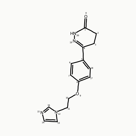 O=C1CCC(c2ccc(OCCn3ccnc3)cc2)=NN1